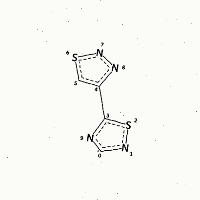 [c]1nsc(-c2csnn2)n1